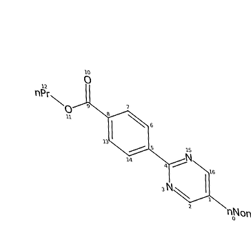 CCCCCCCCCc1cnc(-c2ccc(C(=O)OCCC)cc2)nc1